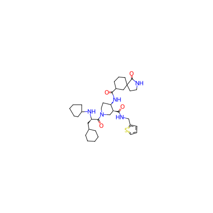 O=C(N[C@@H]1CCN(C(=O)[C@@H](CC2CCCCC2)NC2CCCCC2)C[C@@H]1C(=O)NCc1cccs1)C1CCCC2(CCNC2=O)C1